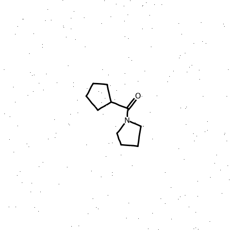 O=C(C1CCCC1)N1[CH]CCC1